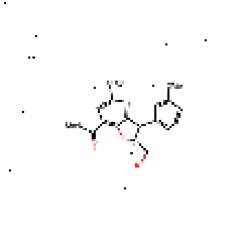 CNC(=O)c1cc(C(=O)O)cc2c1O[C@H](CO)C2c1cccc(OC)c1